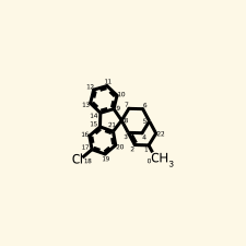 CC1C=C2CC(CCC23c2ccccc2-c2cc(Cl)ccc23)C1